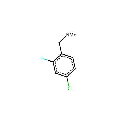 CNCc1ccc(Cl)cc1F